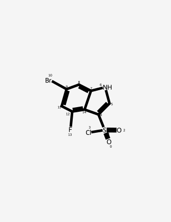 O=S(=O)(Cl)c1c[nH]c2cc(Br)cc(F)c12